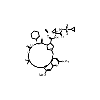 C=C[C@@H]1C[C@]1(NC(=O)C1C[C@@H]2CN1C(=O)[C@H](C1CCCCC1)NC(=O)OCC(C)(C)CCCc1cc3c(cc(NC)nc3cc1OC)O2)C(=O)NS(=O)(=O)C1CC1